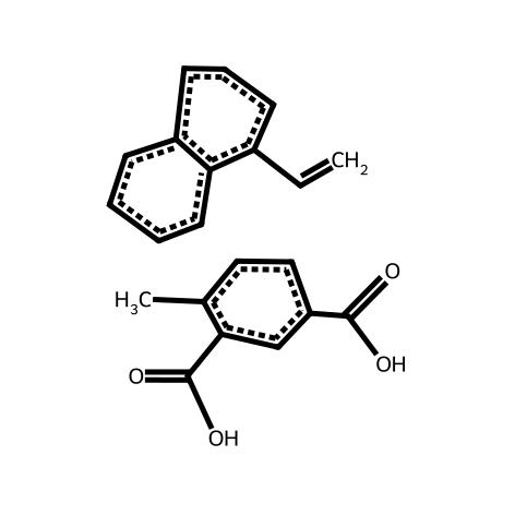 C=Cc1cccc2ccccc12.Cc1ccc(C(=O)O)cc1C(=O)O